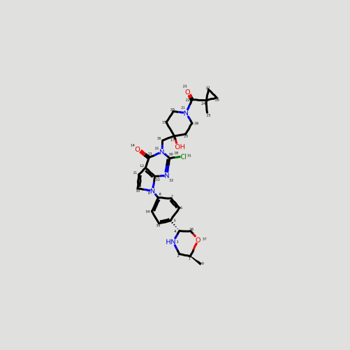 C[C@H]1CN[C@H](c2ccc(-n3ccc4c(=O)n(CC5(O)CCN(C(=O)C6(C)CC6)CC5)c(Cl)nc43)cc2)CO1